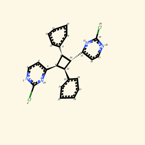 Clc1nccc([C@H]2[C@H](c3ccccc3)[C@H](c3ccnc(Cl)n3)[C@H]2c2ccccc2)n1